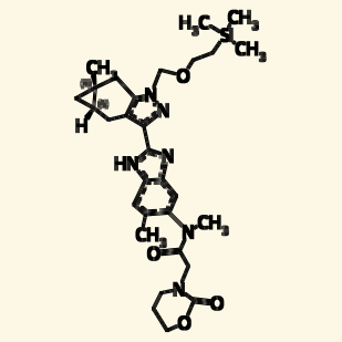 Cc1cc2[nH]c(-c3nn(COCC[Si](C)(C)C)c4c3C[C@@H]3C[C@]3(C)C4)nc2cc1N(C)C(=O)CN1CCCOC1=O